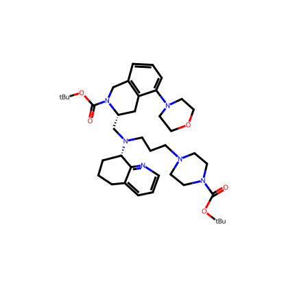 CC(C)(C)OC(=O)N1CCN(CCCN(C[C@H]2Cc3c(cccc3N3CCOCC3)CN2C(=O)OC(C)(C)C)[C@H]2CCCc3cccnc32)CC1